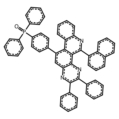 O=P(c1ccccc1)(c1ccccc1)c1ccc(-c2cc3nc(-c4ccccc4)c(-c4ccccc4)nc3c3c(-c4cccc5ccccc45)nc4ccccc4c23)cc1